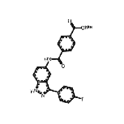 COC(=O)c1ccc(C(=O)Nc2ccc3[nH]nc(-c4ccc(F)cc4)c3c2)cc1